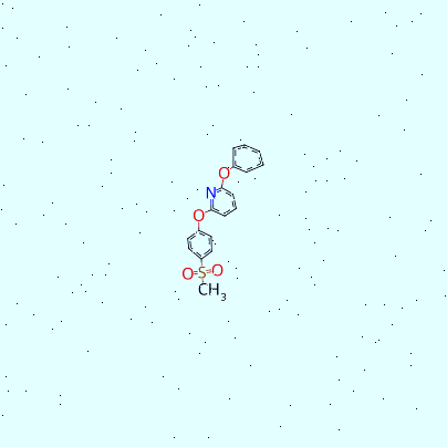 CS(=O)(=O)c1ccc(Oc2cccc(Oc3ccccc3)n2)cc1